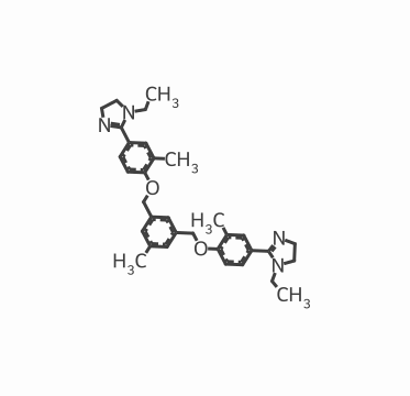 CCN1CCN=C1c1ccc(OCc2cc(C)cc(COc3ccc(C4=NCCN4CC)cc3C)c2)c(C)c1